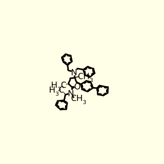 C[C@H](C[C@@](C)(Cc1ccc(-c2ccccc2)cc1)N(Cc1ccccc1)Cc1ccccc1)C(=O)N(C)[C@@H](C)c1ccccc1